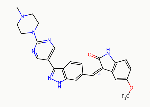 CN1CCN(c2ncc(-c3n[nH]c4cc(/C=C5\C(=O)Nc6ccc(OC(F)(F)F)cc65)ccc34)cn2)CC1